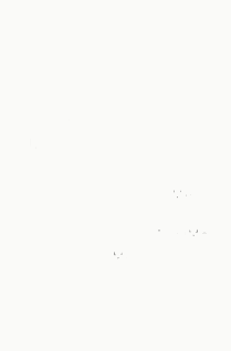 CO[Si](CCCC=C(C)C)(OC)OC